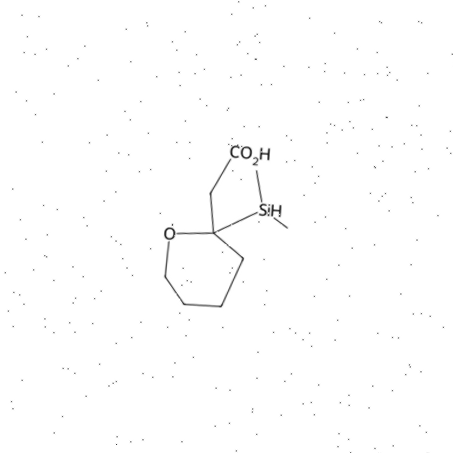 C[SiH](C)C1(CC(=O)O)CCCCO1